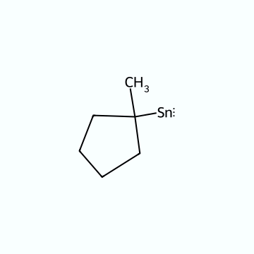 C[C]1([Sn])CCCC1